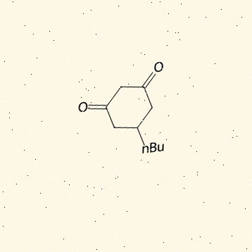 CCCCC1CC(=O)CC(=O)C1